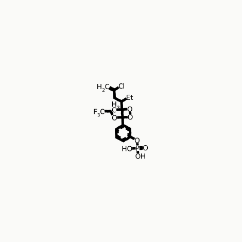 C=C(Cl)CC(CC)C1(C)OOC1(OCC(F)(F)F)c1cccc(OP(=O)(O)O)c1